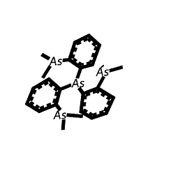 C[As](C)c1ccccc1[As](c1ccccc1[As](C)C)c1ccccc1[As](C)C